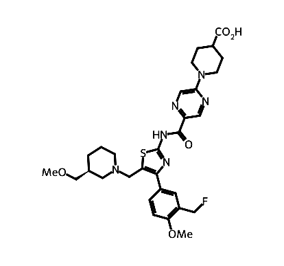 COC[C@H]1CCCN(Cc2sc(NC(=O)c3cnc(N4CCC(C(=O)O)CC4)cn3)nc2-c2ccc(OC)c(CF)c2)C1